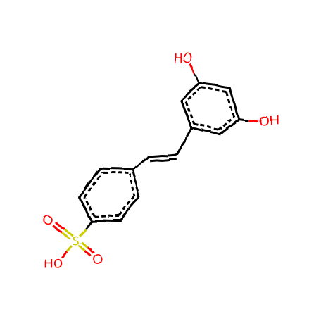 O=S(=O)(O)c1ccc(C=Cc2cc(O)cc(O)c2)cc1